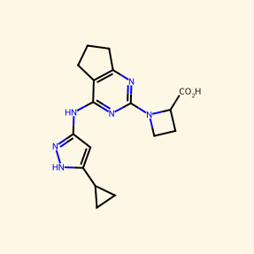 O=C(O)C1CCN1c1nc2c(c(Nc3cc(C4CC4)[nH]n3)n1)CCC2